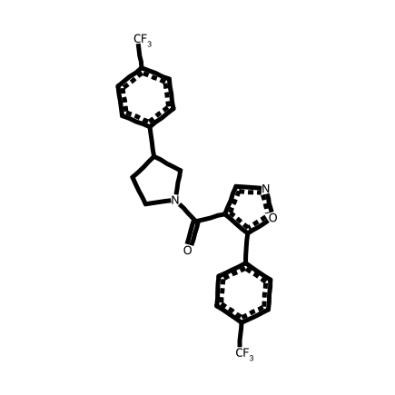 O=C(c1cnoc1-c1ccc(C(F)(F)F)cc1)N1CCC(c2ccc(C(F)(F)F)cc2)C1